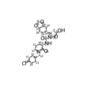 O=C(O)C[C@H](NC(=O)Nc1cccn(Cc2ccc(Cl)cc2)c1=O)c1ccc2c(c1)OCO2